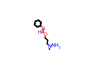 CN(N)CCCOPOc1ccccc1